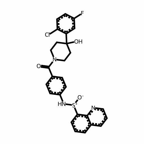 O=C(c1ccc(N[S+]([O-])c2cccc3cccnc23)cc1)N1CCC(O)(c2cc(F)ccc2Cl)CC1